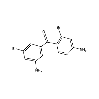 Nc1cc(Br)cc(C(=O)c2ccc(N)cc2Br)c1